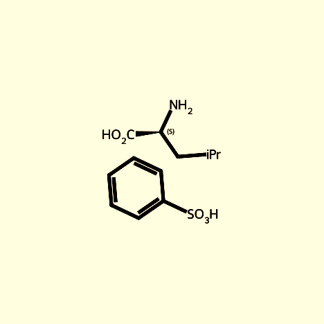 CC(C)C[C@H](N)C(=O)O.O=S(=O)(O)c1ccccc1